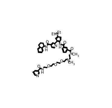 CCN(CC)c1ccc(NC(=O)c2cccc(C(=O)N(C)CCN(C)CCOCCOCCOCCNC(=O)c3cccnc3)c2)c(-c2cc(C(=O)NC3CCCc4ccccc43)ccn2)c1